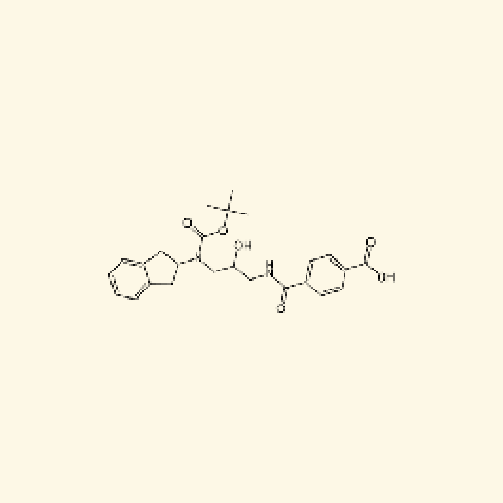 CC(C)(C)OC(=O)N(CC(O)CNC(=O)c1ccc(C(=O)O)cc1)C1Cc2ccccc2C1